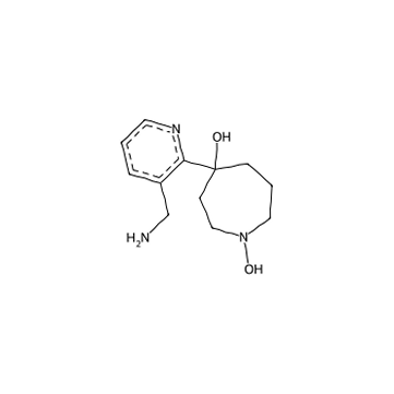 NCc1cccnc1C1(O)CCCN(O)CC1